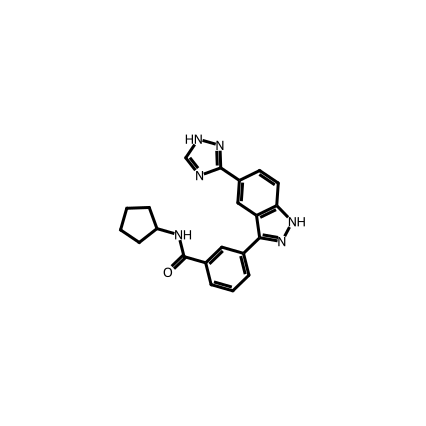 O=C(NC1CCCC1)c1cccc(-c2n[nH]c3ccc(-c4nc[nH]n4)cc23)c1